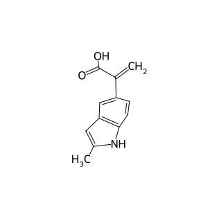 C=C(C(=O)O)c1ccc2[nH]c(C)cc2c1